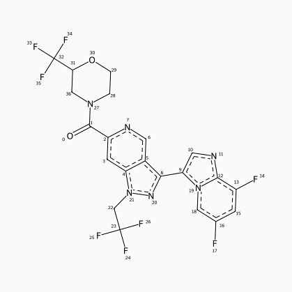 O=C(c1cc2c(cn1)c(-c1cnc3c(F)cc(F)cn13)nn2CC(F)(F)F)N1CCOC(C(F)(F)F)C1